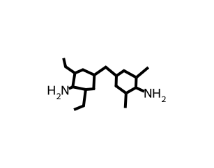 CCC1CC(CC2CC(C)C(N)C(C)C2)CC(CC)C1N